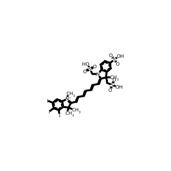 C[N+]1=C(/C=C/C=C/C=C/C=C2\N(CS(=O)(=O)O)c3ccc(S(=O)(=O)O)cc3C2(C)CS(=O)(=O)O)C(C)(C)c2c1cc(I)c(I)c2I